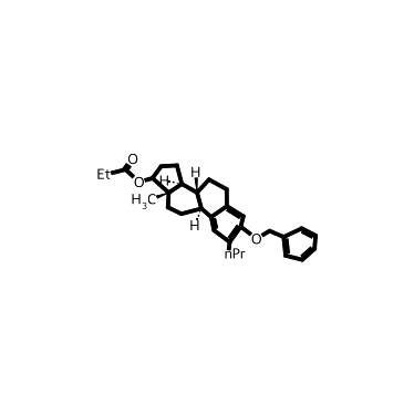 CCCc1cc2c(cc1OCc1ccccc1)CC[C@@H]1[C@@H]2CC[C@]2(C)C(OC(=O)CC)CC[C@@H]12